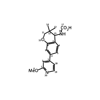 COc1cc(-c2ccc3c(c2)OCC(C)(C)C3NC(=O)O)ccn1